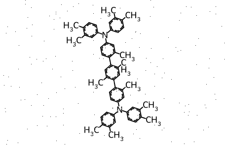 Cc1ccc(N(c2ccc(C)c(C)c2)c2ccc(-c3cc(C)c(-c4ccc(N(c5ccc(C)c(C)c5)c5ccc(C)c(C)c5)cc4C)cc3C)c(C)c2)cc1C